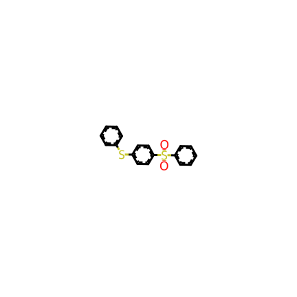 O=S(=O)(c1ccccc1)c1ccc(Sc2ccccc2)cc1